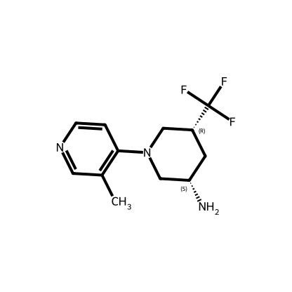 Cc1cnccc1N1C[C@@H](N)C[C@@H](C(F)(F)F)C1